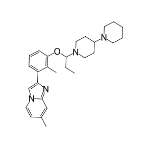 CCC(Oc1cccc(-c2cn3ccc(C)cc3n2)c1C)N1CCC(N2CCCCC2)CC1